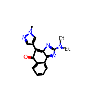 CCN(CC)C1=NC2=C(c3cnn(C)c3)C(=O)c3ccccc3C2=N1